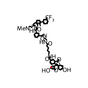 CNCC[C@H]1Cc2ccc(-c3cccc(C(F)(F)F)c3)nc2N1C(=O)Nc1cccc(-c2cnc(CNC(=O)CCCCCNC(=O)c3ccc4c(c3)C(=O)OC43c4ccc(O)cc4Oc4cc(O)ccc43)o2)c1